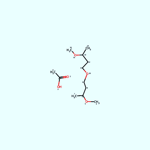 CC(=O)O.COC(C)CCOCCC(C)OC